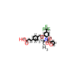 CC(C)N(c1ccc(C(F)(F)F)cc1OCc1ccc(/C=C/C(=O)O)cc1)S(=O)(=O)c1ccco1